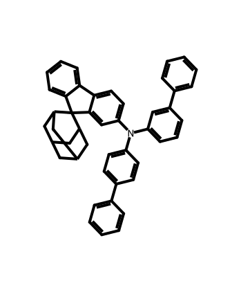 c1ccc(-c2ccc(N(c3cccc(-c4ccccc4)c3)c3ccc4c(c3)C3(c5ccccc5-4)C4CC5CC(C4)CC3C5)cc2)cc1